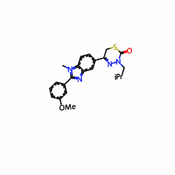 COc1cccc(-c2nc3cc(C4=NN(CC(C)C)C(=O)SC4)ccc3n2C)c1